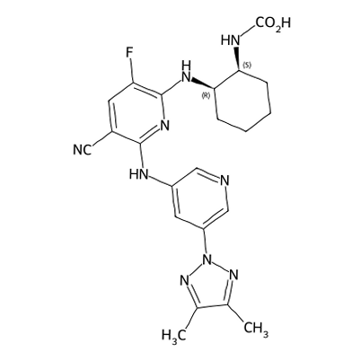 Cc1nn(-c2cncc(Nc3nc(N[C@@H]4CCCC[C@@H]4NC(=O)O)c(F)cc3C#N)c2)nc1C